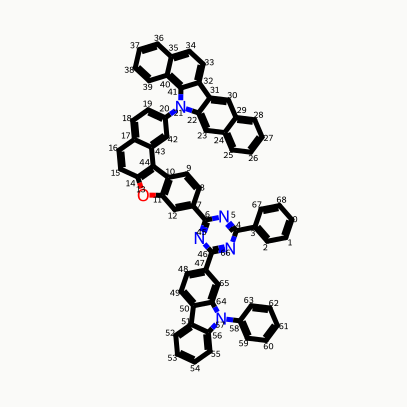 c1ccc(-c2nc(-c3ccc4c(c3)oc3ccc5ccc(-n6c7cc8ccccc8cc7c7ccc8ccccc8c76)cc5c34)nc(-c3ccc4c5ccccc5n(-c5ccccc5)c4c3)n2)cc1